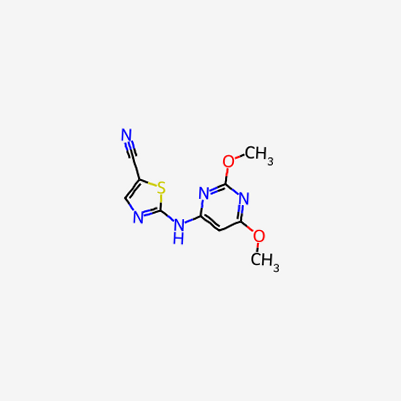 COc1cc(Nc2ncc(C#N)s2)nc(OC)n1